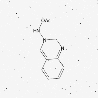 CC(=O)ONN1C=c2ccccc2=NC1